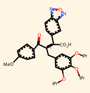 COc1ccc(C(=O)/C(Cc2cc(OC(C)C)c(OC(C)C)c(OC(C)C)c2)=C(/C(=O)O)c2ccc3nonc3c2)cc1